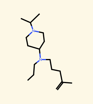 C=C(C)CCCN(CCC)C1CCN(C(C)C)CC1